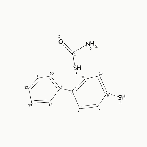 NC(=O)S.Sc1ccc(-c2ccccc2)cc1